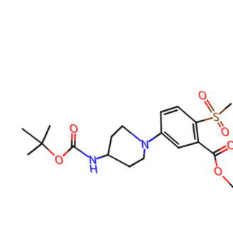 COC(=O)c1cc(N2CCC(NC(=O)OC(C)(C)C)CC2)ccc1S(C)(=O)=O